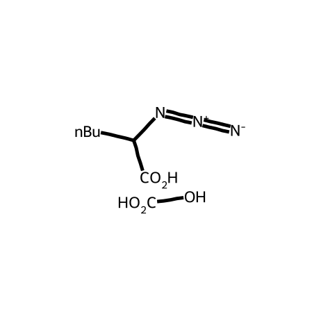 CCCCC(N=[N+]=[N-])C(=O)O.O=C(O)O